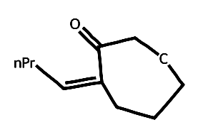 CCCC=C1CCCCCC1=O